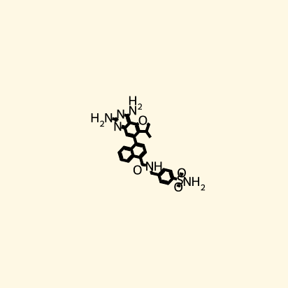 CC1COc2c1c(-c1ccc(C(=O)NCc3ccc(S(N)(=O)=O)cc3)c3ccccc13)cc1nc(N)nc(N)c21